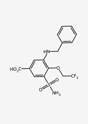 NS(=O)(=O)c1cc(C(=O)O)cc(NCc2ccccc2)c1OCC(F)(F)F